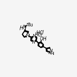 CC(C)(C)NC1CCN(c2cnc(-c3ccc(-c4cn[nH]c4)cc3O)cn2)C1.Cl.Cl